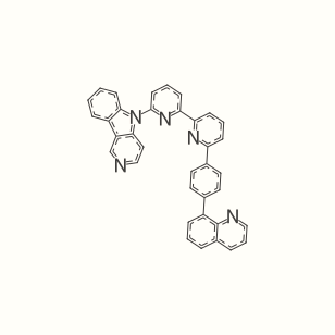 c1cc(-c2ccc(-c3cccc4cccnc34)cc2)nc(-c2cccc(-n3c4ccccc4c4cnccc43)n2)c1